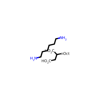 CCCCCCCCC(CC(=O)O)C(=O)O.NCCCCCCN